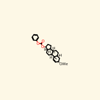 CO[C@@H]1C=C[C@@]2(C)[C@@H](CC[C@@H]3[C@@H]2CC[C@]2(C)[C@@H](OC(=O)Oc4ccccc4)CC[C@@H]32)C1